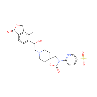 Cc1c(C(O)CN2CCC3(CC2)CN(c2ccc(S(C)(=O)=O)cn2)C(=O)O3)ccc2c1COC2=O